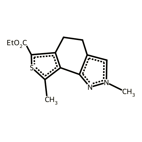 CCOC(=O)c1sc(C)c2c1CCc1cn(C)nc1-2